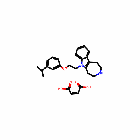 CC(C)c1cccc(OCCn2c3c(c4ccccc42)CCNCC3)c1.O=C(O)/C=C\C(=O)O